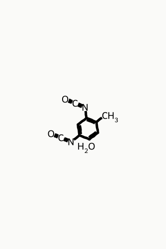 Cc1ccc(N=C=O)cc1N=C=O.O